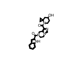 O=C(c1cc2ccccc2[nH]1)N1CCn2cnc(C(=O)N3CCC(O)CC34CC4)c2C1